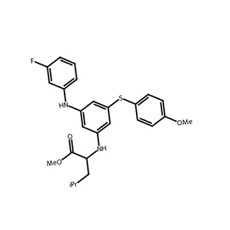 COC(=O)C(CC(C)C)Nc1cc(Nc2cccc(F)c2)cc(Sc2ccc(OC)cc2)c1